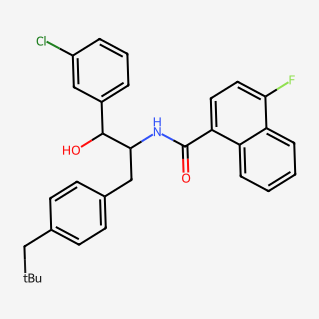 CC(C)(C)Cc1ccc(CC(NC(=O)c2ccc(F)c3ccccc23)C(O)c2cccc(Cl)c2)cc1